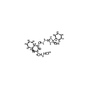 Cc1nc(OCCN2CC(O)(c3ccccc3)C2)c2ccccc2n1.Cl